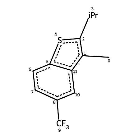 Cc1c(C(C)C)sc2ccc(C(F)(F)F)cc12